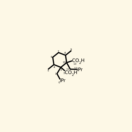 CC(C)CC1(C(=O)O)C(C)CCC(C)C1(CC(C)C)C(=O)O